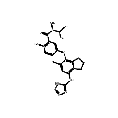 CC(C)C(C(C)C)N(C)C(=O)c1cc(Oc2c(Cl)cc(Nc3nnn[nH]3)c3c2CCC3)ccc1O